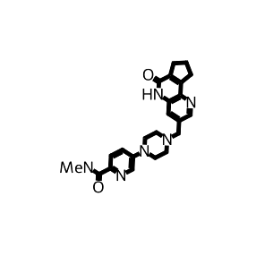 CNC(=O)c1ccc(N2CCN(Cc3cnc4c5c(c(=O)[nH]c4c3)CCC5)CC2)cn1